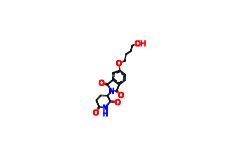 O=C1CCC(N2C(=O)c3ccc(OCCCCO)cc3C2=O)C(=O)N1